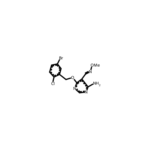 CON=Cc1c(N)ncnc1OCc1cc(Br)ccc1Cl